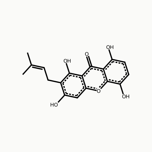 CC(C)=CCc1c(O)cc2oc3c(O)ccc(O)c3c(=O)c2c1O